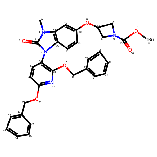 Cn1c(=O)n(-c2ccc(OCc3ccccc3)nc2OCc2ccccc2)c2ccc(OC3CN(C(=O)OC(C)(C)C)C3)cc21